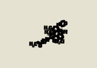 C=CC(=O)N1CC2(CC(n3nc(N4CC=C(CN5CCOCC5)CC4(C)C)c(-c4c(Cl)c(Cl)cc5[nH]ncc45)c3C)C2)C1